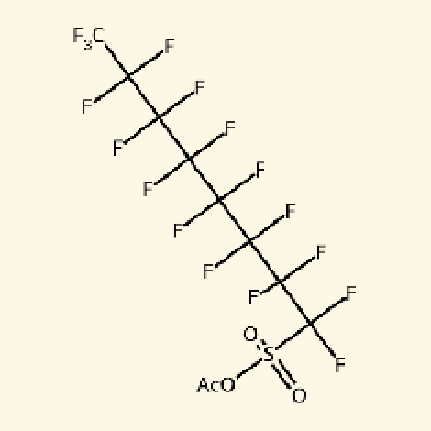 CC(=O)OS(=O)(=O)C(F)(F)C(F)(F)C(F)(F)C(F)(F)C(F)(F)C(F)(F)C(F)(F)C(F)(F)F